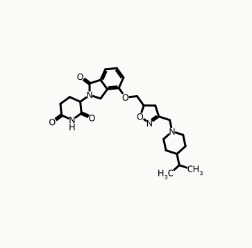 CC(C)C1CCN(CC2=NOC(COc3cccc4c3CN(C3CCC(=O)NC3=O)C4=O)C2)CC1